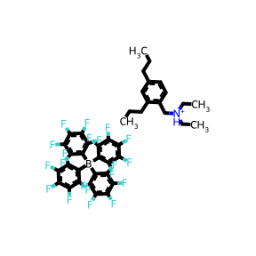 CCCc1ccc(C[NH+](CC)CC)c(CCC)c1.Fc1c(F)c(F)c([B-](c2c(F)c(F)c(F)c(F)c2F)(c2c(F)c(F)c(F)c(F)c2F)c2c(F)c(F)c(F)c(F)c2F)c(F)c1F